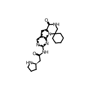 O=C(C[C@H]1CCCN1)Nc1ncc2cc3n(c2n1)C1(CCCCC1)CNC3=O